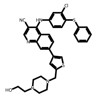 N#Cc1cnc2cc(-c3csc(CN4CCN(CCO)CC4)c3)ccc2c1Nc1ccc(Sc2ccccc2)c(Cl)c1